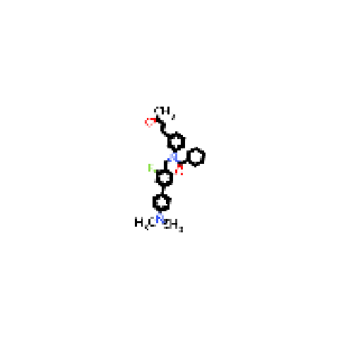 CC(=O)/C=C/c1cccc(N(Cc2ccc(-c3ccc(N(C)C)cc3)cc2F)C(=O)C2CCCCC2)c1